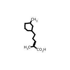 CC(=CCCC1CCCC(C)C1)C(=O)O